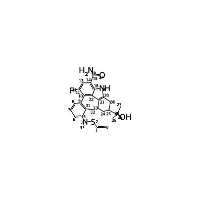 C=CSN(C)c1cccc(-c2c(F)cc(C(N)=O)c3[nH]c4c(c23)CCC(C(C)(C)O)C4)c1C